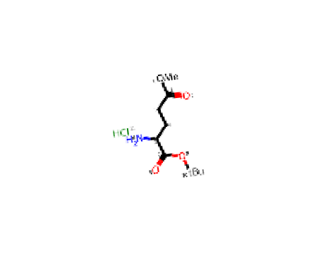 COC(=O)CCC(N)C(=O)OC(C)(C)C.Cl